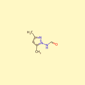 Cc1cc(C)n(NC=O)n1